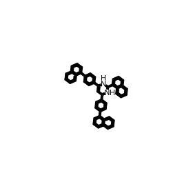 C1=C(c2ccc(-c3cccc4ccccc34)cc2)NC(c2cccc3ccccc23)NC1c1ccc(-c2cccc3ccccc23)cc1